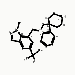 Cn1ncc2cc(C(F)(F)F)cc(COCC3(c4ccccc4)CCNCC3)c21